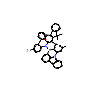 Cc1cc2c3c(c1)-n1c4ccccc4c4cccc(c41)B3N(c1ccc(C(C)(C)C)cc1-c1ccccc1)c1ccc3c(c1-2)C(C)(C)c1ccccc1-3